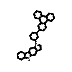 c1cc(-c2ccc3c4ccccc4c4ccccc4c3c2)cc(-n2ccc3cc4sc5ccccc5c4cc32)c1